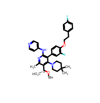 Cc1nc(Nc2ccncc2)c(-c2ccc(OCCc3ccc(F)cc3)c(F)c2)c(N2CCC(C)(C)CC2)c1[C@H](OC(C)(C)C)C(=O)O